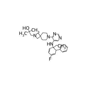 CCC1(Nc2cncnc2N2CCC3(CC2)CN(CC(C)(C)O)C3)C=CC(F)=CC1c1ccccc1